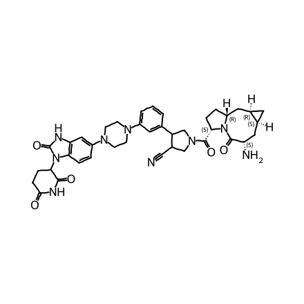 N#CC1CN(C(=O)[C@@H]2CC[C@@H]3C[C@H]4C[C@H]4C[C@H](N)C(=O)N32)CC1c1cccc(N2CCN(c3ccc4c(c3)[nH]c(=O)n4C3CCC(=O)NC3=O)CC2)c1